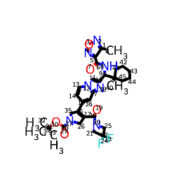 Cc1nonc1C(=O)NC(c1cn2ccc(C3=C(C(=O)N4CC(F)(F)C4)CN(C(=O)OC(C)(C)C)C3)cc2n1)C1(C)CCCCC1